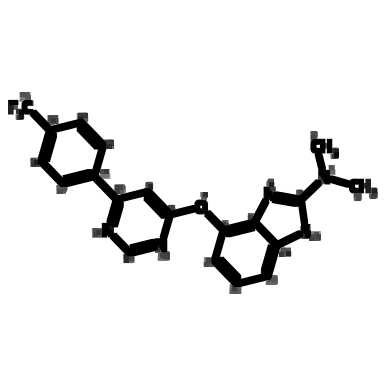 CN(C)c1nc2c(Oc3cc(-c4ccc(C(F)(F)F)cc4)ncn3)cccc2s1